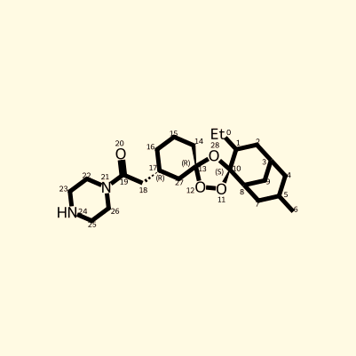 CCC1CC2CC(C)CC(C2)[C@@]12OO[C@@]1(CCC[C@@H](CC(=O)N3CCNCC3)C1)O2